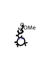 C=C(C1=C/C(=C)C(C)(C)CCC(C)(C)C/C=C\1C)c1ccc(C(=O)OC)nc1